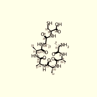 C[C@H](N)C(=O)N[C@@H](C)C(=O)N[C@@H](C)C(=O)N[C@@H](C)C(=O)N[C@@H](C)C(=O)N[C@@H](C)C(=O)N[C@@H](CS)C(=O)O